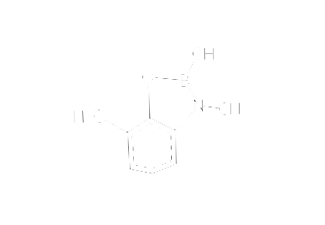 CB1Oc2c(C)cccc2N1C